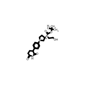 CC(C)(C)OC(=O)N(CCO)[C@@H]1CCN(c2ccc(C3CCC(=O)NC3=O)cc2)C1